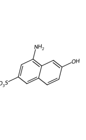 Nc1cc(S(=O)(=O)O)cc2ccc(O)cc12